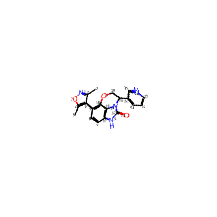 Cc1noc(C)c1-c1ccc2[nH]c(=O)n3c2c1OCC3c1cccnc1